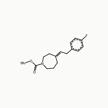 CC(C)(C)OC(=O)N1CCC/C(=C\Cc2ccc(F)cc2)CC1